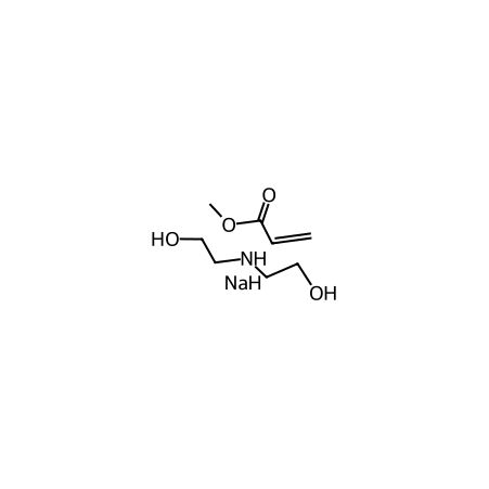 C=CC(=O)OC.OCCNCCO.[NaH]